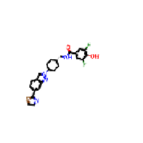 O=C(NC[C@H]1CC[C@H](n2cc3ccc(-c4nccs4)cc3n2)CC1)c1cc(F)c(O)c(F)c1